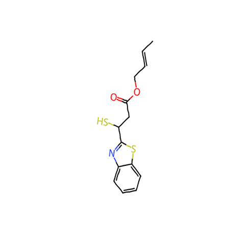 CC=CCOC(=O)CC(S)c1nc2ccccc2s1